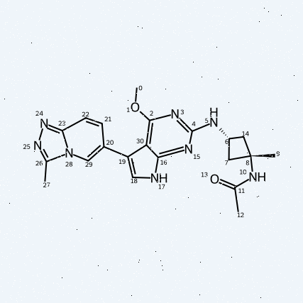 COc1nc(N[C@H]2C[C@@](C)(NC(C)=O)C2)nc2[nH]cc(-c3ccc4nnc(C)n4c3)c12